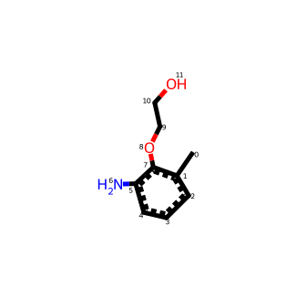 Cc1cccc(N)c1OCCO